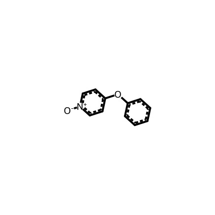 [O-][n+]1ccc(Oc2ccccc2)cc1